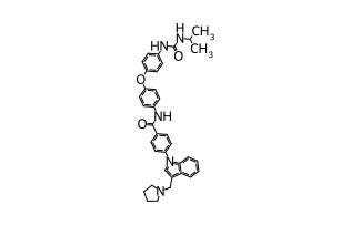 CC(C)NC(=O)Nc1ccc(Oc2ccc(NC(=O)c3ccc(-n4cc(CN5CCCC5)c5ccccc54)cc3)cc2)cc1